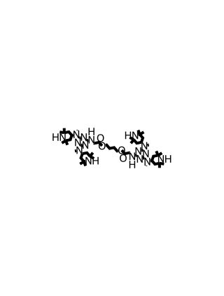 CN(c1nc(NCC(=O)OCCCCOC(=O)CNc2nc(N(C)C3CC(C)(C)NC(C)(C)C3)nc(N(C)C3CC(C)(C)NC(C)(C)C3)n2)nc(N(C)C2CC(C)(C)NC(C)(C)C2)n1)C1CC(C)(C)NC(C)(C)C1